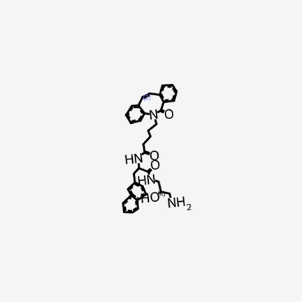 NC[C@@H](O)CNC(=O)C(Cc1ccc2ccccc2c1)NC(=O)CCCCN1C(=O)c2ccccc2/C=C\c2ccccc21